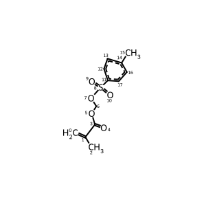 C=C(C)C(=O)OCOS(=O)(=O)c1ccc(C)cc1